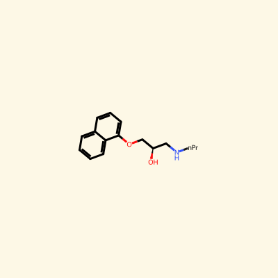 CCCNC[C@@H](O)COc1cccc2ccccc12